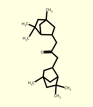 CC12CC(CC(=O)CC3CC4(C)CC3C(C)(C)C4)C(C1)C(C)(C)C2